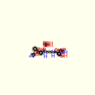 CN1CC[C@@H](OC(=O)C(O)(c2ccccc2)c2cccc(C(=O)NCCCCNC[C@H](O)c3ccc(O)c4[nH]c(=O)ccc34)c2)C1.O=CO.O=CO